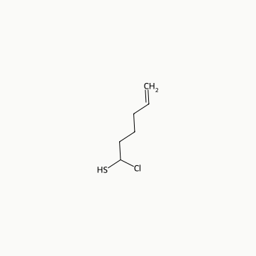 C=CCCCC(S)Cl